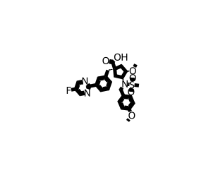 COc1ccc(CN([C@@H]2C[C@@](Cc3cccc(-c4ncc(F)cn4)c3)(C(=O)O)C[C@@H]2OC)S(C)(=O)=O)cc1